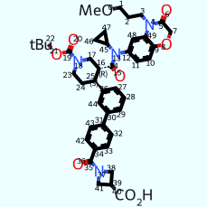 COCCCN1C(=O)COc2ccc(N(C(=O)[C@H]3CN(C(=O)OC(C)(C)C)CC[C@@H]3c3cccc(-c4ccc(C(=O)N5CC(C(=O)O)C5)cc4)c3)C3CC3)cc21